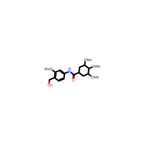 COc1cc(NC(=O)C2CC(OC)C(OC)C(OC)C2)ccc1CO